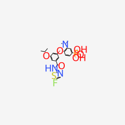 CC(C)Oc1cc(Oc2ccc(P(=O)(O)O)cc2N(C)C)cc(C(=O)Nc2ncc(F)s2)c1